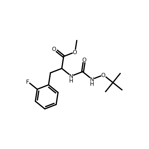 COC(=O)C(Cc1ccccc1F)NC(=O)NOC(C)(C)C